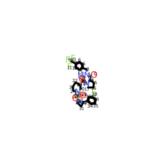 O=C(NCc1ccc(C(F)(F)F)cc1)[C@H]1CCCN1C(=O)[C@H]1CCCN(S(=O)(=O)N2CC[C@@H]2c2cccc(F)c2)C1